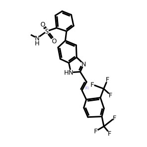 CNS(=O)(=O)c1ccccc1-c1ccc2[nH]c(/C=C/c3ccc(C(F)(F)F)cc3C(F)(F)F)nc2c1